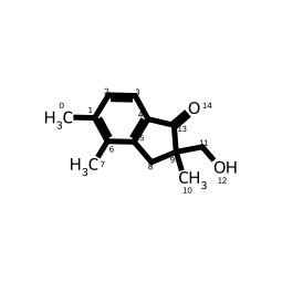 Cc1ccc2c(c1C)CC(C)(CO)C2=O